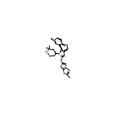 Cc1nn2cc(Cc3nc4cnc5ccc(F)cc5c4n3C3CCOC(C)(C)C3)nc2s1